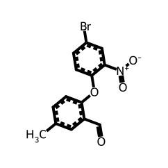 Cc1ccc(Oc2ccc(Br)cc2[N+](=O)[O-])c(C=O)c1